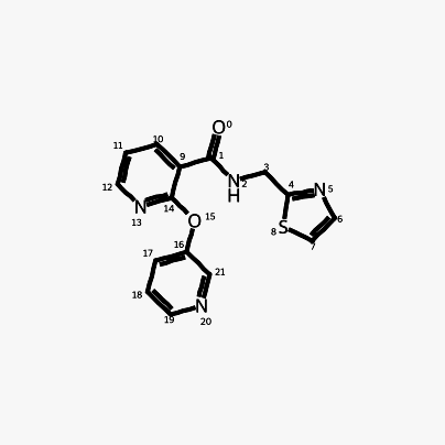 O=C(NCc1nccs1)c1cccnc1Oc1cccnc1